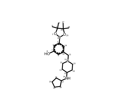 CC1(C)OB(c2cc(O)cc(CN3CCC(NC4CCCC4)CC3)c2)OC1(C)C